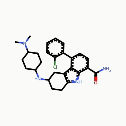 CN(C)C1CCC(NC2CCc3[nH]c4c(C(N)=O)ccc(-c5ccccc5Cl)c4c3C2)CC1